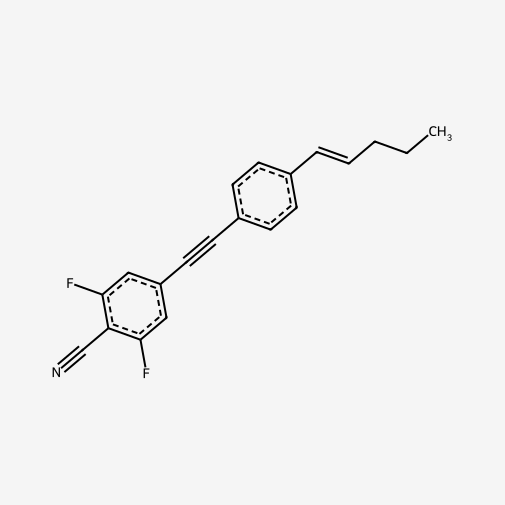 CCCC=Cc1ccc(C#Cc2cc(F)c(C#N)c(F)c2)cc1